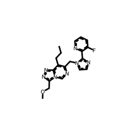 CCCc1c(Cn2ccnc2-c2ncccc2F)ncn2c(COC)nnc12